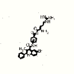 Cc1c(-c2ccccc2)nc2ccc(Br)cc2c1C(=O)NC12CCC(C(=O)OC(=O)[C@@H](N)CCCNC(=N)N)(CC1)CC2